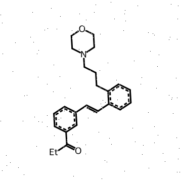 CCC(=O)c1cccc(/C=C/c2ccccc2CCCN2CCOCC2)c1